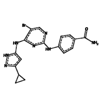 NC(=O)c1ccc(Nc2ncc(Br)c(Nc3cc(C4CC4)n[nH]3)n2)cc1